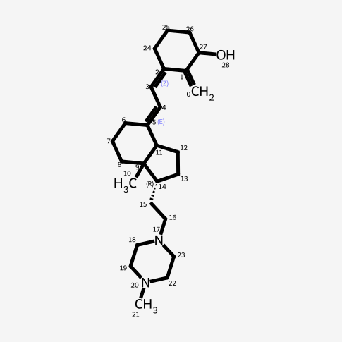 C=C1/C(=C\C=C2/CCCC3(C)C2CC[C@@H]3CCN2CCN(C)CC2)CCCC1O